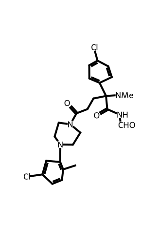 CNC(CCC(=O)N1CCN(c2cc(Cl)ccc2C)CC1)(C(=O)NC=O)c1ccc(Cl)cc1